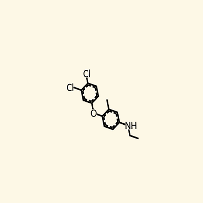 CCNc1ccc(Oc2ccc(Cl)c(Cl)c2)c(C)c1